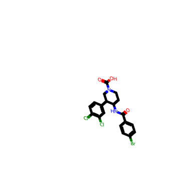 O=C(NC1CCN(C(=O)O)CC1c1ccc(Cl)c(Cl)c1)c1ccc(Br)cc1